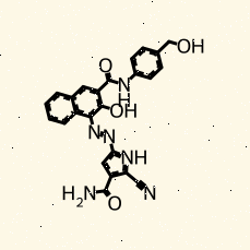 N#Cc1[nH]c(/N=N/c2c(O)c(C(=O)Nc3ccc(CO)cc3)cc3ccccc23)cc1C(N)=O